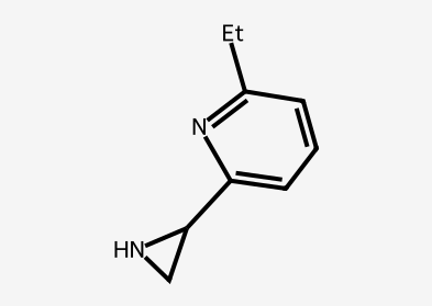 CCc1cccc(C2CN2)n1